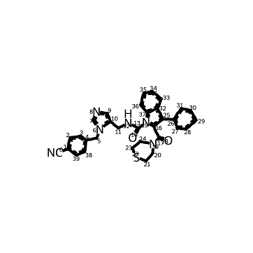 N#Cc1ccc(Cn2cncc2CNC(=O)n2c(C(=O)N3CCSCC3)c(-c3ccccc3)c3c[c]ccc32)cc1